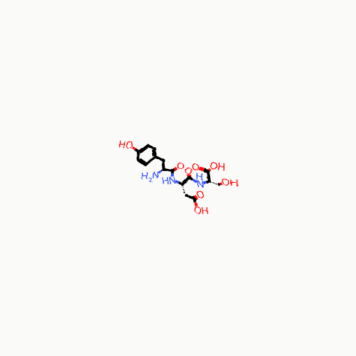 N[C@@H](Cc1ccc(O)cc1)C(=O)N[C@@H](CC(=O)O)C(=O)N[C@@H](CO)C(=O)O